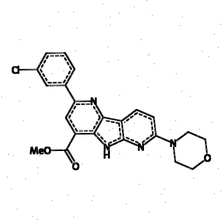 COC(=O)c1cc(-c2cccc(Cl)c2)nc2c1[nH]c1nc(N3CCOCC3)ccc12